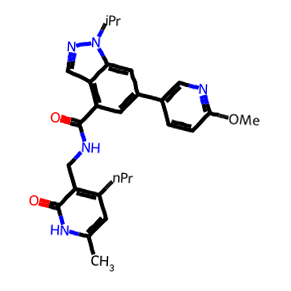 CCCc1cc(C)[nH]c(=O)c1CNC(=O)c1cc(-c2ccc(OC)nc2)cc2c1cnn2C(C)C